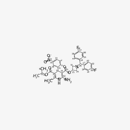 CC1=C(C(=O)OC(C)C)C(c2cccc([N+](=O)[O-])c2)C(C(=O)OC2CN(C(c3ccc(F)cc3)c3ccc(F)cc3)C2)=C(N)N1